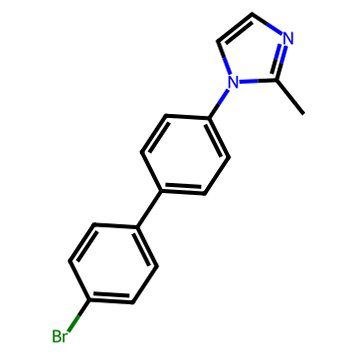 Cc1nccn1-c1ccc(-c2ccc(Br)cc2)cc1